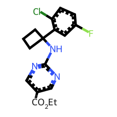 CCOC(=O)c1cnc(NC2(c3cc(F)ccc3Cl)CCC2)nc1